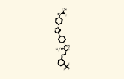 Cn1c(COc2cccc(C(F)(F)F)c2)nnc1[C@H]1CC[C@H](c2cnn([C@H]3CC[C@H](NC(=O)O)CC3)c2)CC1